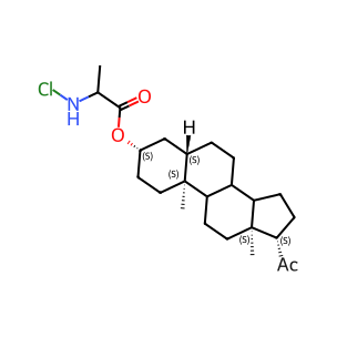 CC(=O)[C@H]1CCC2C3CC[C@H]4C[C@@H](OC(=O)C(C)NCl)CC[C@]4(C)C3CC[C@@]21C